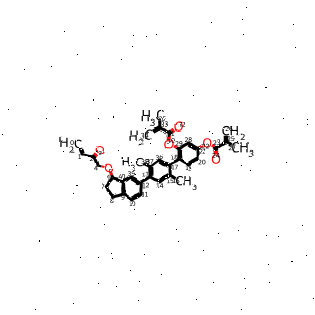 C=CC(=O)COC1CCc2ccc(-c3cc(C)c(-c4ccc(OC(=O)C(=C)C)cc4OC(=O)C(=C)C)cc3C)cc21